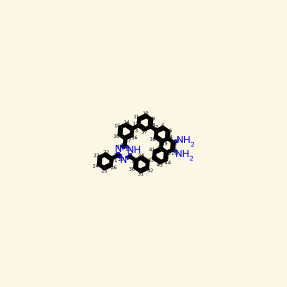 Nc1c(N)c2ccc(-c3cccc(-c4cccc(C5=NC(c6ccccc6)=NC(c6ccccc6)N5)c4)c3)cc2c2ccccc12